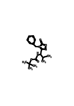 CC(C)C(NC(=O)OC(C)(C)C)c1noc(=O)n1Cc1ccccc1